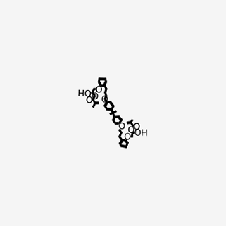 C=C(C)C(=O)OC(O)COc1ccccc1CCCOc1ccc(C(C)(C)c2ccc(OCCCc3ccccc3OCC(O)OC(=O)C(=C)C)cc2)cc1